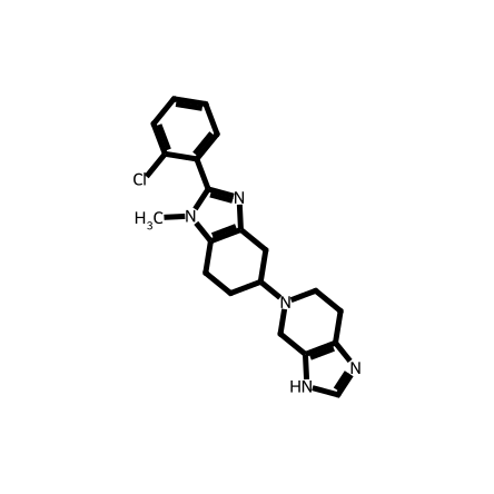 Cn1c(-c2ccccc2Cl)nc2c1CCC(N1CCc3nc[nH]c3C1)C2